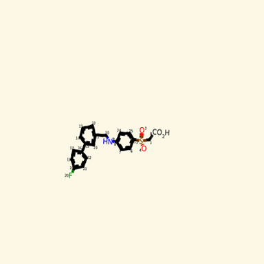 O=C(O)CS(=O)(=O)c1ccc(NCc2cccc(-c3ccc(F)cc3)c2)cc1